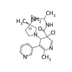 CC1=C(c2cccnc2)C(N2CC[C@](C)(N)C2)C(Cl)(C(=O)NC(C)C2CC2)C=N1